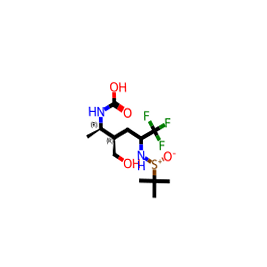 C[C@@H](NC(=O)O)[C@H](CO)CC(N[S+]([O-])C(C)(C)C)C(F)(F)F